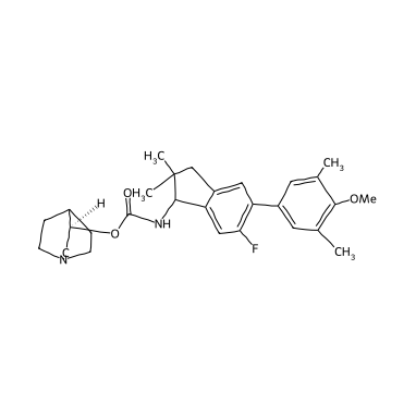 COc1c(C)cc(-c2cc3c(cc2F)C(NC(=O)O[C@H]2CN4CCC2CC4)C(C)(C)C3)cc1C